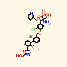 Cc1c(-c2nnc(CO)o2)cccc1-c1cccc(COc2ccc(C(OCc3cccnc3)[C@](N)(CO)C(=O)O)cc2Cl)c1Br